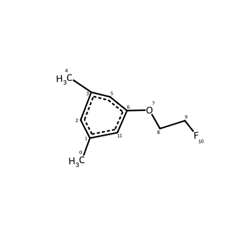 Cc1cc(C)cc(OCCF)c1